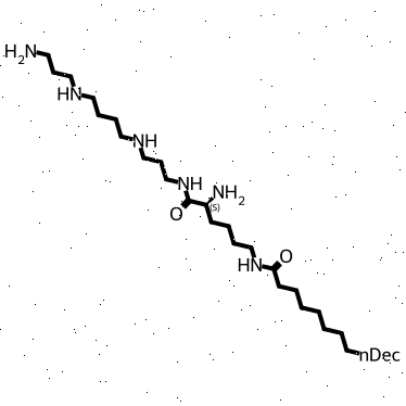 CCCCCCCCCCCCCCCCCC(=O)NCCCC[C@H](N)C(=O)NCCCNCCCCNCCCN